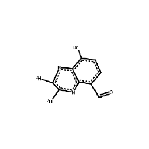 [2H]c1nc2c(Br)ccc(C=O)c2nc1[2H]